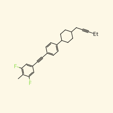 CCC#CCC1CCC(c2ccc(C#Cc3cc(F)c(C)c(F)c3)cc2)CC1